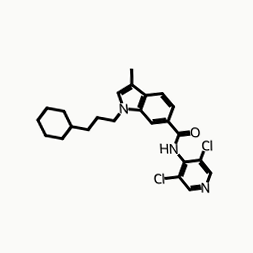 Cc1cn(CCCC2CCCCC2)c2cc(C(=O)Nc3c(Cl)cncc3Cl)ccc12